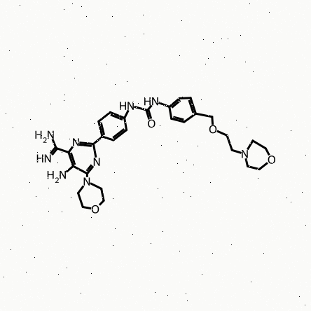 N=C(N)c1nc(-c2ccc(NC(=O)Nc3ccc(COCCN4CCOCC4)cc3)cc2)nc(N2CCOCC2)c1N